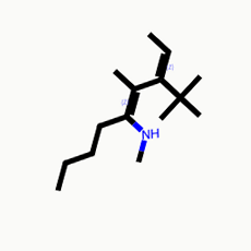 C/C=C(\C(C)=C(\CCCC)NC)C(C)(C)C